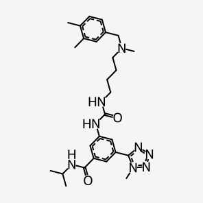 Cc1ccc(CN(C)CCCCNC(=O)Nc2cc(C(=O)NC(C)C)cc(-c3nnnn3C)c2)cc1C